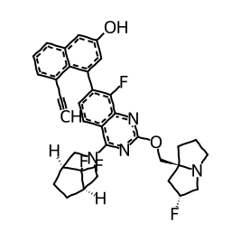 C#Cc1cccc2cc(O)cc(-c3ccc4c(N5C[C@H]6CC[C@@H](C5)C6(F)F)nc(OC[C@@]56CCCN5C[C@H](F)C6)nc4c3F)c12